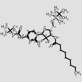 CCCCCCCCC(=O)O[C@@H]1[C@@H](CO[Si](C)(C)C(C)(C)C)OC(n2ccc(NC(=O)OC(C)(C)C)nc2=O)C1(F)F